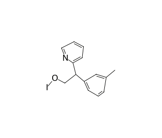 Cc1cccc(C(COI)c2ccccn2)c1